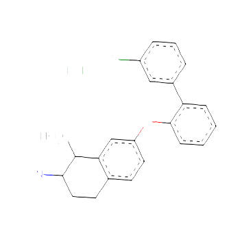 Cl.NC1CCc2ccc(Oc3ccccc3-c3cccc(Cl)c3)cc2C1C(=O)O